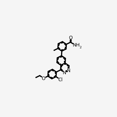 CCOc1ccc(-c2nncc3cc(-c4cc(C(N)=O)ccc4C)ccc23)c(Cl)c1